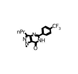 CCCc1nn(C)c2c(=O)[nH]c(-c3ccc(C(F)(F)F)cc3)nc12